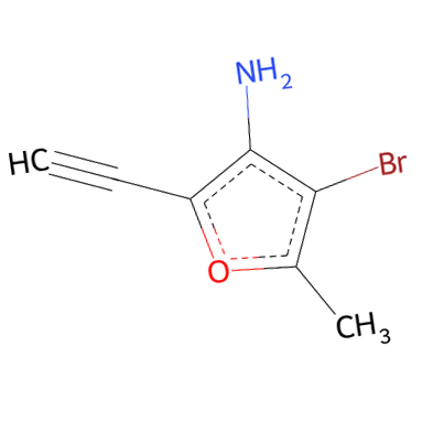 C#Cc1oc(C)c(Br)c1N